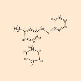 Cc1cc(SCc2ccccc2)cc(N2CCOCC2)c1